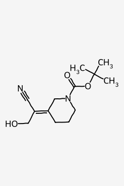 CC(C)(C)OC(=O)N1CCCC(=C(C#N)CO)C1